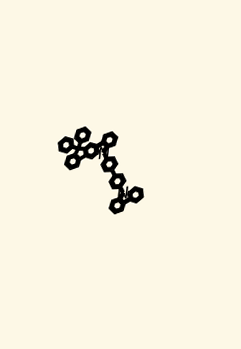 c1ccc(C2(c3ccccc3)c3ccccc3-c3cc4c(cc32)c2ccccc2n4-c2ccc(-c3ccc(-n4c5ccccc5c5ccccc54)cc3)cc2)cc1